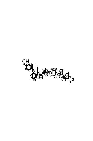 CCc1ccc(Nc2cnccc2NC(=O)c2cnc(N3CCN(C(=O)OC(C)(C)C)CC3)o2)cc1